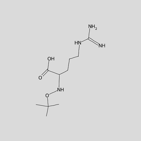 CC(C)(C)ONC(CCCNC(=N)N)C(=O)O